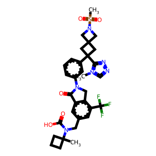 Cn1cnnc1C1(c2cccc(N3Cc4c(cc(CN(C(=O)O)C5(C)CCC5)cc4C(F)(F)F)C3=O)c2)CC2(CN(S(C)(=O)=O)C2)C1